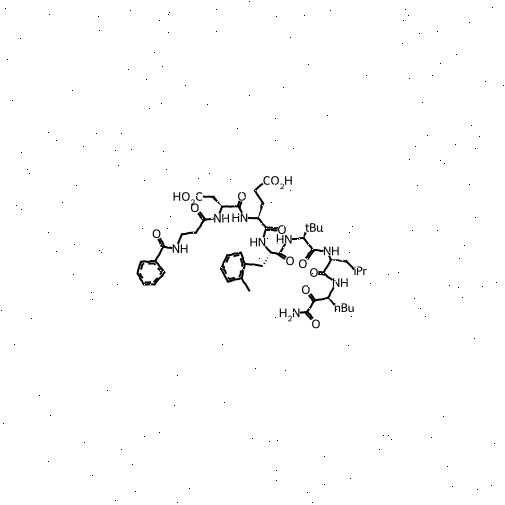 CCCC[C@H](NC(=O)[C@H](CC(C)C)NC(=O)[C@@H](NC(=O)[C@H](Cc1ccccc1C)NC(=O)[C@H](CCC(=O)O)NC(=O)[C@H](CC(=O)O)NC(=O)CCNC(=O)c1ccccc1)C(C)(C)C)C(=O)C(N)=O